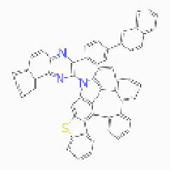 c1ccc2c(c1)-c1cccc3ccc4c(c13)c1c-2c2c(cc1n4-c1nc3c(ccc4ccccc43)nc1-c1ccc(-c3ccc4ccccc4c3)cc1)sc1ccccc12